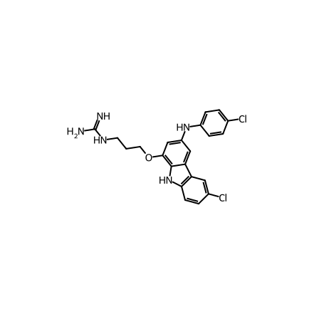 N=C(N)NCCCOc1cc(Nc2ccc(Cl)cc2)cc2c1[nH]c1ccc(Cl)cc12